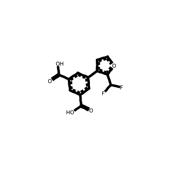 O=C(O)c1cc(C(=O)O)cc(-c2ccoc2C(F)F)c1